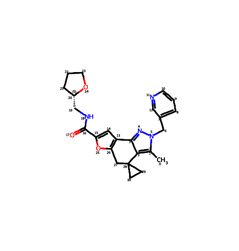 Cc1c2c(nn1Cc1cccnc1)-c1cc(C(=O)NC[C@@H]3CCCO3)oc1CC21CC1